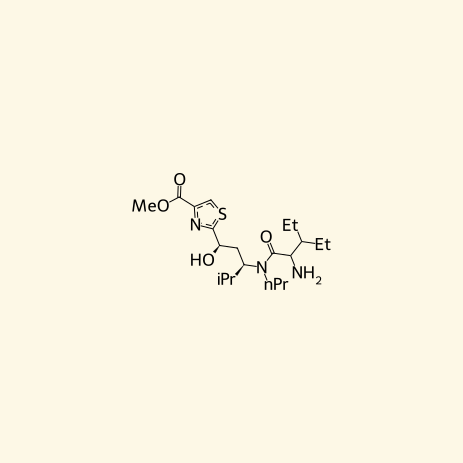 CCCN(C(=O)C(N)C(CC)CC)[C@H](C[C@@H](O)c1nc(C(=O)OC)cs1)C(C)C